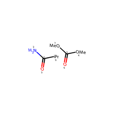 CC(C)C(N)=O.COC(=O)OC